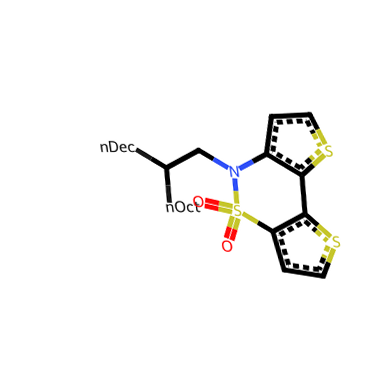 CCCCCCCCCCC(CCCCCCCC)CN1c2ccsc2-c2sccc2S1(=O)=O